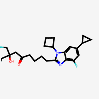 O=C(CCCCc1nc2c(F)cc(C3CC3)cc2n1C1CCC1)CC(O)(CF)CF